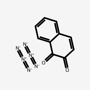 O=C1C=Cc2ccccc2C1=O.[N-]=[N+]=[N-].[N-]=[N+]=[N-]